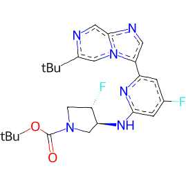 CC(C)(C)OC(=O)N1C[C@H](Nc2cc(F)cc(-c3cnc4cnc(C(C)(C)C)cn34)n2)[C@@H](F)C1